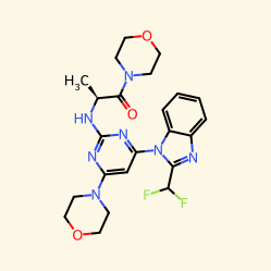 C[C@H](Nc1nc(N2CCOCC2)cc(-n2c(C(F)F)nc3ccccc32)n1)C(=O)N1CCOCC1